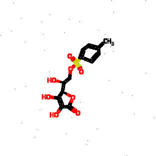 Cc1ccc(S(=O)(=O)OC[C@H](O)[C@H]2OC(=O)C(O)=C2O)cc1